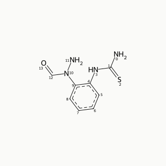 NC(=S)Nc1ccccc1N(N)C=O